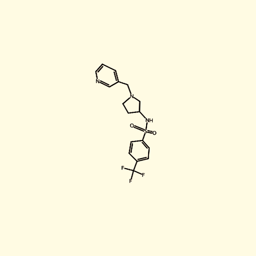 O=S(=O)(NC1CCN(Cc2cccnc2)C1)c1ccc(C(F)(F)F)cc1